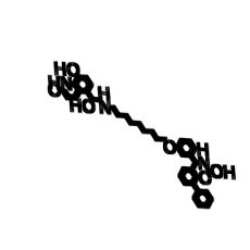 O=C(O)NC(c1cccc(OCCCCCCCCCNC[C@H](O)c2ccc(O)c3[nH]c(=O)ccc23)c1)c1cccc(-c2ccccc2)c1